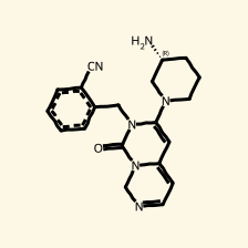 N#Cc1ccccc1CN1C(=O)N2CN=CC=C2C=C1N1CCC[C@@H](N)C1